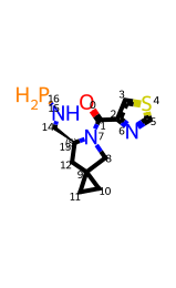 O=C(c1cscn1)N1CC2(CC2)C[C@H]1CNP